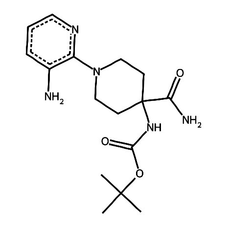 CC(C)(C)OC(=O)NC1(C(N)=O)CCN(c2ncccc2N)CC1